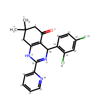 CC1(C)CC(=O)C2=C(C1)NC(c1ccccn1)=NC2c1ccc(F)cc1Cl